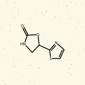 O=C1NCC(c2nccs2)O1